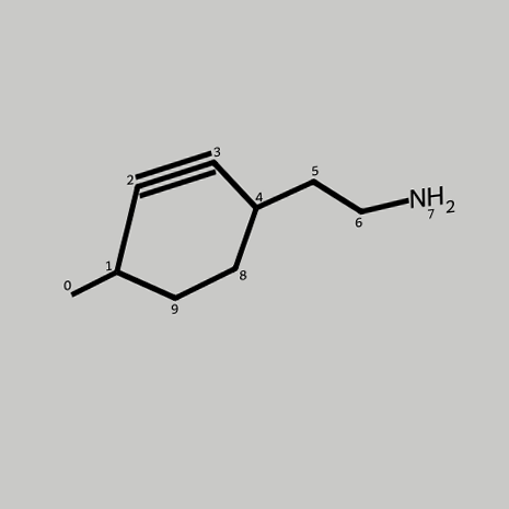 CC1C#CC(CCN)CC1